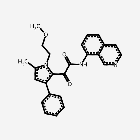 COCCn1c(C)cc(-c2ccccc2)c1C(=O)C(=O)Nc1cccc2ccncc12